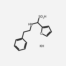 O=S(=O)(O)C(NCCc1ccccc1)c1ccco1.[KH]